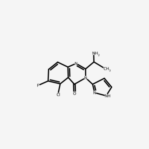 CC(N)c1nc2ccc(F)c(Cl)c2c(=O)n1-c1cc[nH]n1